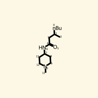 CCCCC(C)CC(=O)NC1CCN(C)CC1